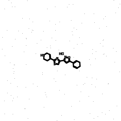 C1=CC(c2cc(-c3csc(C4=CCNCC4)n3)no2)=CCC1.Cl